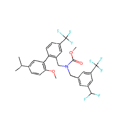 COC(=O)N(Cc1cc(C(F)F)cc(C(F)(F)F)c1)Cc1cc(C(F)(F)F)ccc1-c1cc(C(C)C)ccc1OC